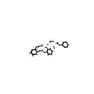 COc1c(C)cc2c(c1O)[C@@H]1C3Cc4c(OC(C)=O)c(C)c5c(c4[C@H](CNC(=O)[C@H](C)NC(=O)Cc4ccccc4)N3C(C#N)C(C2)N1C)OCO5